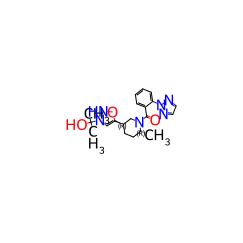 C[C@@H]1CC[C@@H](C2=CN(C(C)(C)O)NO2)CN1C(=O)c1ccccc1-n1nccn1